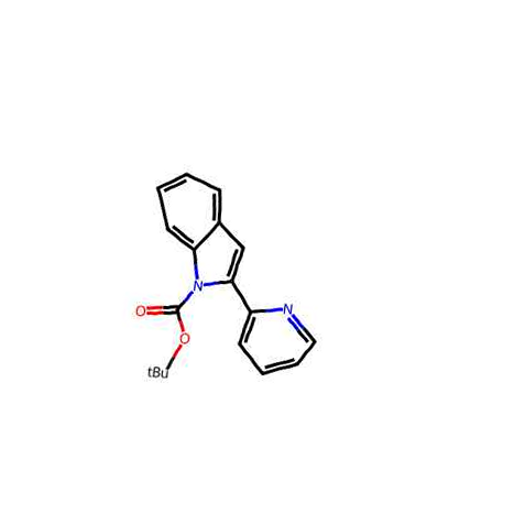 CC(C)(C)OC(=O)n1c(-c2ccccn2)cc2ccccc21